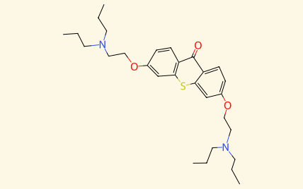 CCCN(CCC)CCOc1ccc2c(=O)c3ccc(OCCN(CCC)CCC)cc3sc2c1